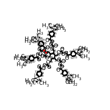 C=C[Si](CC)(CC)c1ccc(C(=O)OOC(=O)OCCC(COC(=O)OOC(=O)c2ccc([Si](C=C)(CC)CC)cc2)C(COC(=O)OOC(=O)c2ccc([Si](C=C)(CC)CC)cc2)C(COC(=O)OOC(=O)c2ccc([Si](C=C)(CC)CC)cc2)C(CCOC(=O)OOC(=O)c2ccc([Si](C=C)(CC)CC)cc2)COC(=O)OOC(=O)c2ccc([Si](C=C)(CC)CC)cc2)cc1